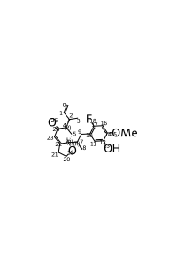 C=CC(C)[C@H]1C[C@]2([C@H](C)Cc3cc(O)c(OC)cc3F)OCCC2=CC1=O